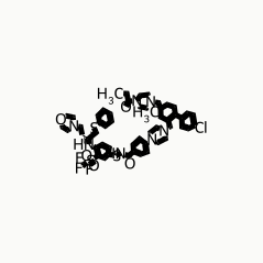 CCC(=O)N1CCN(CC2(C)CCC(c3ccc(Cl)cc3)=C(CN3CCN(c4ccc(C(=O)NSc5ccc(N[C@H](CCN6CCOCC6)CSc6ccccc6)c(S(=O)(=O)C(F)(F)F)c5)cc4)CC3)C2)CC1